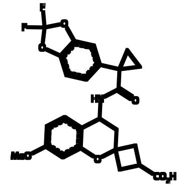 COc1ccc2c(c1)OC1(CC(C(=O)O)C1)CC2NC(=O)C1(c2ccc3c(c2)OC(F)(F)O3)CC1